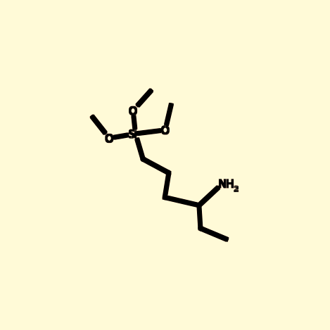 CCC(N)CCC[Si](OC)(OC)OC